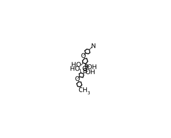 Cc1ccc(Oc2ccc(B(O)OB(O)c3ccc(Oc4ccc(C#N)cc4)cc3CO)c(CO)c2)cc1